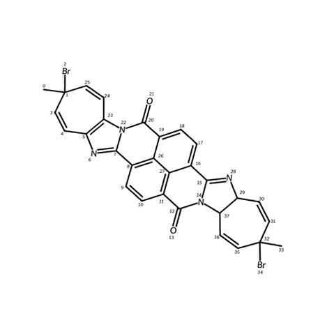 CC1(Br)C=Cc2nc3c4ccc5c(=O)n6c(c7ccc(c(=O)n3c2C=C1)c4c57)=NC1C=CC(C)(Br)C=CC16